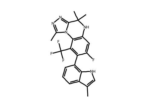 Cc1c[nH]c2c(-c3c(F)cc4c(c3C(F)(F)F)-n3c(C)nnc3C(C)(C)N4)cccc12